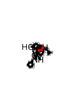 CN(C(=O)NCc1ccccc1)[C@@H]1CC[C@@]2(O)[C@H]3Cc4ccc(O)c5c4[C@@]2(CCN3CC2CC2)[C@H]1O5